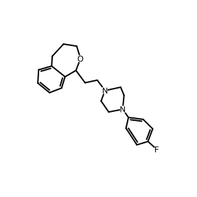 Fc1ccc(N2CCN(CCC3OCCCc4ccccc43)CC2)cc1